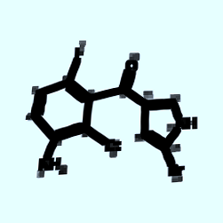 CCc1c(N)ccc(F)c1C(=O)c1c[nH]c(Br)c1